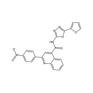 O=C(Nc1nnc(-c2ccco2)o1)c1cc(-c2ccc([N+](=O)[O-])cc2)nc2ccccc12